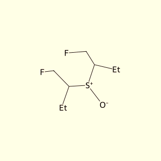 CCC(CF)[S+]([O-])C(CC)CF